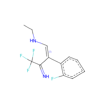 CCN/C=C(\C(=N)C(F)(F)F)c1ccccc1F